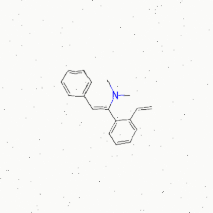 C=Cc1ccccc1C(=Cc1ccccc1)N(C)C